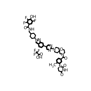 Cc1ccc(C(=O)N2CCOC3(CCN(c4ncc(-c5ccc6cn(C7CCC(CNC(=O)c8cc(F)c(O)c(F)c8F)CC7)nc6c5)cn4)CC3)C2)cc1N1CCC(=O)NC1=O.O=C(O)C(F)(F)F